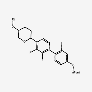 CCCCCOc1ccc(-c2ccc(C3CCC(OCC)CO3)c(F)c2F)c(F)c1